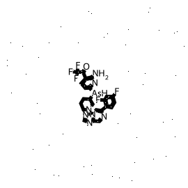 Nc1nc([AsH]C2CCCN([N+]34C=C(c5ccc(F)cc5F)N=CC3=NC=N4)C2)ccc1C(=O)C(F)(F)F